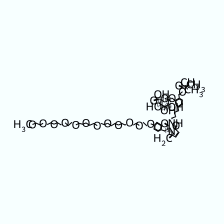 C=C1C=CC(=O)N1[C@@H](Cc1ccc(OCCOCCOCCOCCOCCOCCOCCOCCOCCOCCOCCOC)cc1)C(=O)NCCCCc1ccc(COC(=O)C(C)(C)C)c(O[C@@H]2O[C@H](C(=O)O)[C@@H](O)[C@H](O)[C@H]2O)c1